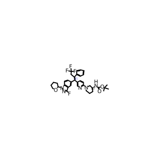 CC(C)(C)OC(=O)N[C@H]1CCCN(c2ccc(/C(=C(/CC(F)(F)F)c3ccccc3)c3ccc4c(c3)c(F)nn4C3CCCCO3)cn2)C1